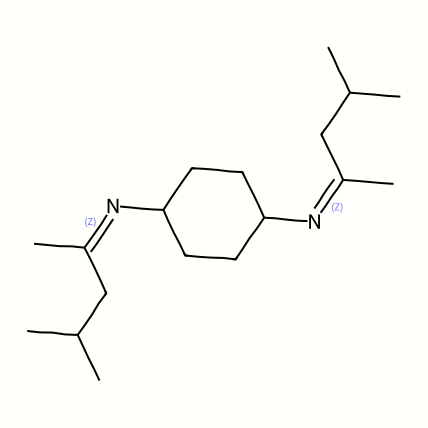 C/C(CC(C)C)=N/C1CCC(/N=C(/C)CC(C)C)CC1